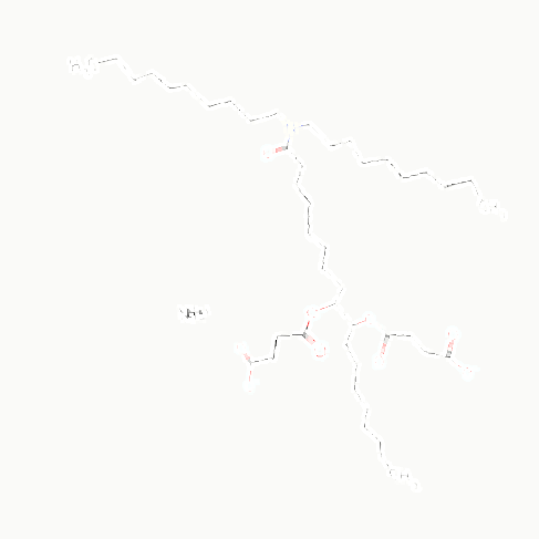 CCCCCCCCCCN(CCCCCCCCCC)C(=O)CCCCCCCC(OC(=O)CCC(=O)[O-])C(CCCCCCCC)OC(=O)CCC(=O)[O-].[Na+].[Na+]